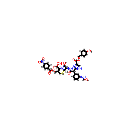 COc1ccc(COC(=O)c2c[nH]c(C(C(=O)N[C@@H]3C(=O)N4C(C(=O)O)=C(COC(=O)c5ccc([N+](=O)[O-])cc5)CS[C@@H]34)c3cccc(NC=O)c3)n2)cc1